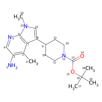 Cc1c(N)cnc2c1c(C1CCN(C(=O)OC(C)(C)C)CC1)cn2C